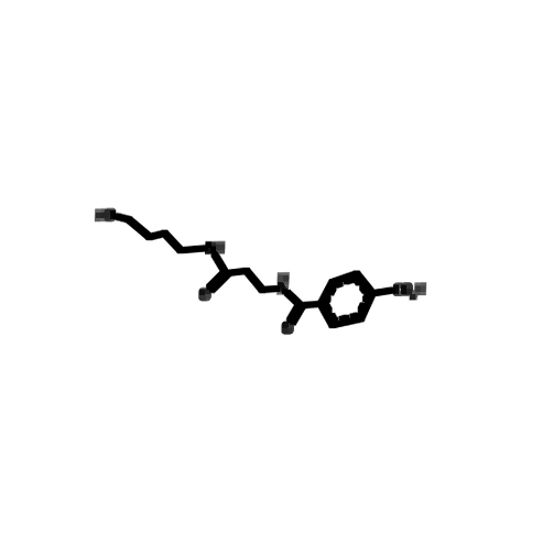 O=C(CCNC(=O)c1ccc(C(=O)O)cc1)NCCCCO